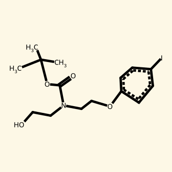 CC(C)(C)OC(=O)N(CCO)CCOc1ccc(I)cc1